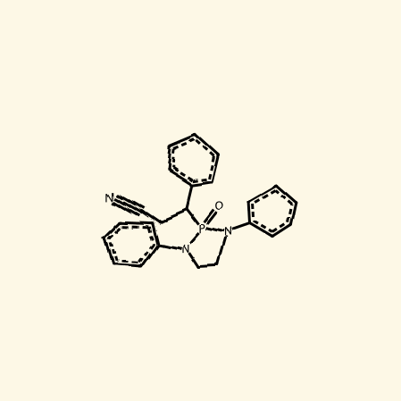 N#CCC(c1ccccc1)P1(=O)N(c2ccccc2)CCN1c1ccccc1